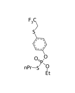 CCCSP(=O)(OCC)Oc1ccc(SCC(F)(F)F)cc1